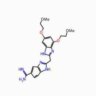 COCCOc1cc(OCCOC)c2nc(Cc3nc4cc(C(=N)N)ccc4[nH]3)[nH]c2c1